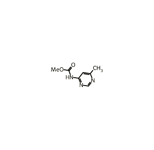 COC(=O)Nc1cc(C)ncn1